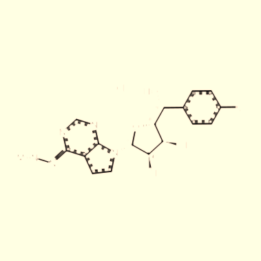 CNN=c1nc[nH]c2c1ccn2[C@@H]1O[C@H]([C@H](O)c2ccc(Cl)cc2)[C@@H](O)[C@H]1O.Cl